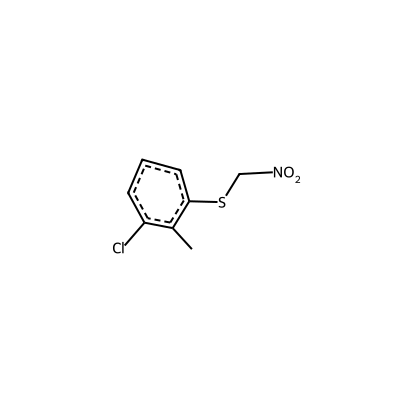 Cc1c(Cl)cccc1SC[N+](=O)[O-]